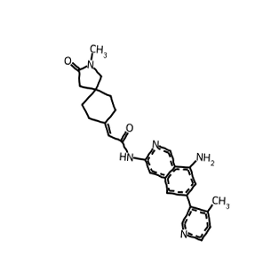 Cc1ccncc1-c1cc(N)c2cnc(NC(=O)C=C3CCC4(CC3)CC(=O)N(C)C4)cc2c1